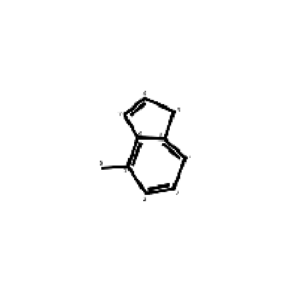 Cc1cccc2c1C=C[CH]2